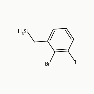 [SiH3]Cc1cccc(I)c1Br